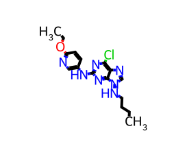 CCCCNn1cnc2c(Cl)nc(Nc3ccc(OCC)nc3)nc21